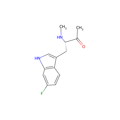 CN[C@@H](Cc1c[nH]c2cc(F)ccc12)C(C)=O